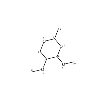 COC1COC(C)OC1OC